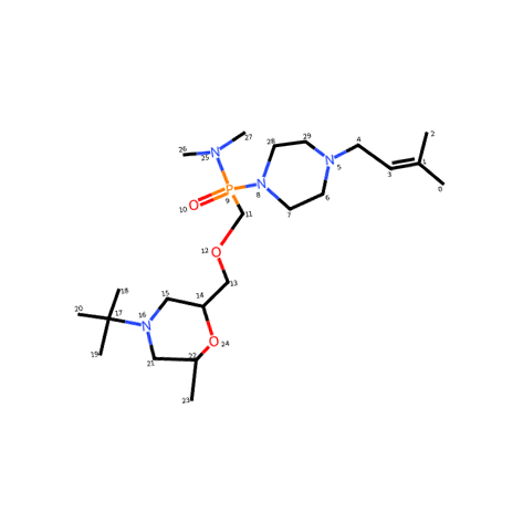 CC(C)=CCN1CCN(P(=O)(COCC2CN(C(C)(C)C)CC(C)O2)N(C)C)CC1